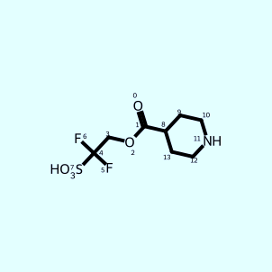 O=C(OCC(F)(F)S(=O)(=O)O)C1CCNCC1